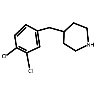 Clc1ccc(C[C]2CCNCC2)cc1Cl